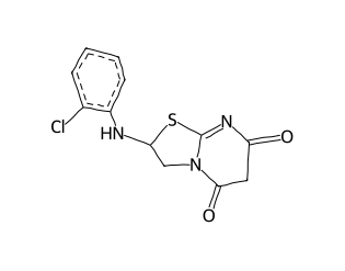 O=C1CC(=O)N2CC(Nc3ccccc3Cl)SC2=N1